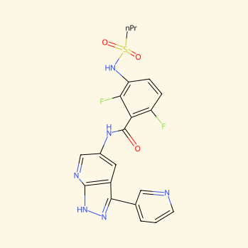 CCCS(=O)(=O)Nc1ccc(F)c(C(=O)Nc2cnc3[nH]nc(-c4cccnc4)c3c2)c1F